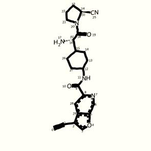 C#Cc1coc2cnc(C(=O)NC3CCC([C@H](N)C(=O)N4CCC[C@H]4C#N)CC3)cc12